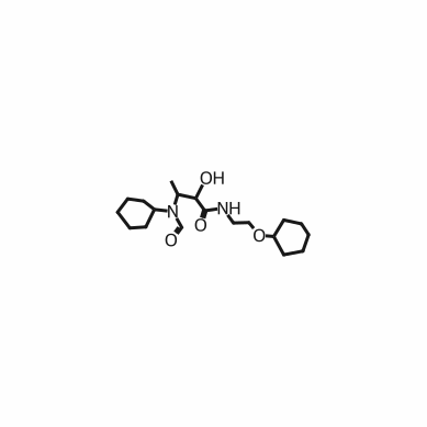 CC(C(O)C(=O)NCCOC1CCCCC1)N(C=O)C1CCCCC1